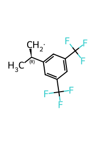 [CH2][C@H](C)c1cc(C(F)(F)F)cc(C(F)(F)F)c1